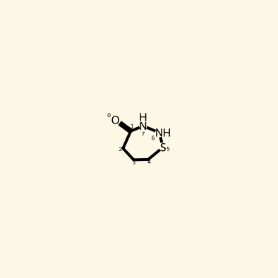 O=C1CCCSNN1